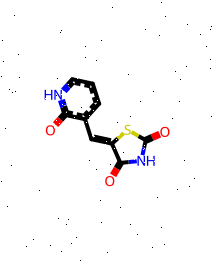 O=C1NC(=O)/C(=C/c2ccc[nH]c2=O)S1